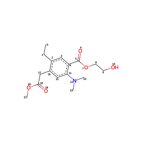 CCc1cc(C(=O)OCCO)c(N(C)C)cc1CC(=O)OC